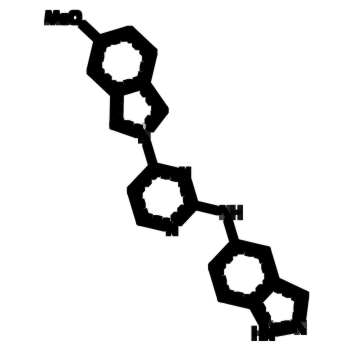 COc1ccc2cn(-c3ccnc(Nc4ccc5[nH]ncc5c4)n3)cc2c1